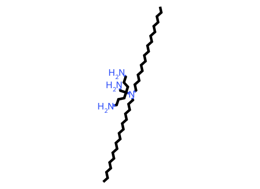 CCCCCCCCCCCCCCCCCCN(CCCCCCCCCCCCCCCCCC)C(CN)(CCCN)CCCN